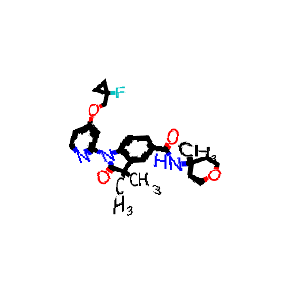 CC1(NC(=O)c2ccc3c(c2)C(C)(C)C(=O)N3c2cc(OCC3(F)CC3)ccn2)CCOCC1